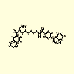 CC(C)CN(CCCCCCNC(=O)c1ccc(-c2n[nH]c3ccccc23)cc1)C(=O)c1ccc2c(c1)OCCO2